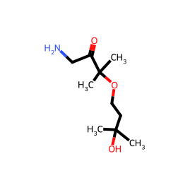 CC(C)(O)CCOC(C)(C)C(=O)CN